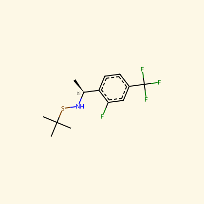 C[C@H](NSC(C)(C)C)c1ccc(C(F)(F)F)cc1F